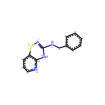 c1ccc(CNC2=NSc3cccnc3N2)cc1